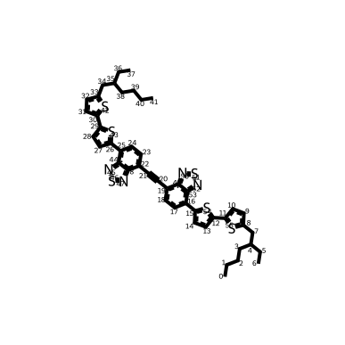 CCCCC(CC)Cc1ccc(-c2ccc(-c3ccc(C#Cc4ccc(-c5ccc(-c6ccc(CC(CC)CCCC)s6)s5)c5nsnc45)c4nsnc34)s2)s1